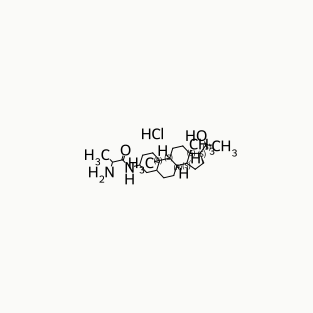 CC(N)C(=O)NC1CC[C@@]2(C)C(CC[C@H]3[C@@H]4CC[C@H]([C@H](C)O)[C@@]4(C)CC[C@@H]32)C1.Cl